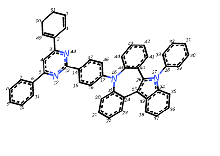 C1=CC(c2cc(-c3ccccc3)nc(-c3ccc(N4c5ccccc5-c5c(n(-c6ccccc6)c6ccccc56)-c5ccccc54)cc3)n2)=CCC1